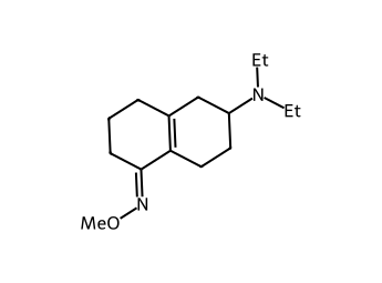 CCN(CC)C1CCC2=C(CCCC2=NOC)C1